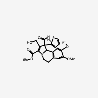 COc1cc2c(cc1OC(C)C)C1N(CC2)C(C(=O)OC(C)(C)C)=C(CO)C1(C(N)=O)c1cccs1